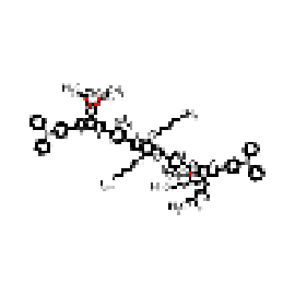 CCCCCCOc1c2cc(-c3cnc(-c4cc5c(s4)-c4sc(-c6ccc(N(c7ccccc7)c7ccccc7)cc6)cc4C5(CC(CC)CCCC)CC(CC)CCCC)c4nsnc34)sc2c(OCCCCCC)c2cc(-c3cnc(-c4cc5c(s4)-c4sc(-c6ccc(N(c7ccccc7)c7ccccc7)cc6)cc4C5(CC(CC)CCCC)CC(CC)CCCC)c4nsnc34)sc12